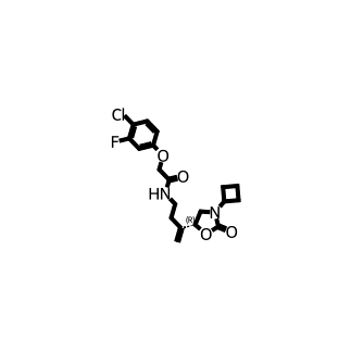 C=C(CCNC(=O)COc1ccc(Cl)c(F)c1)[C@@H]1CN(C2CCC2)C(=O)O1